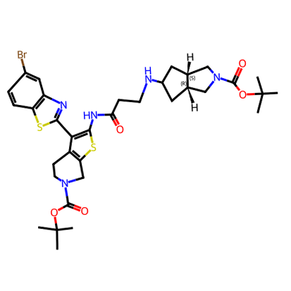 CC(C)(C)OC(=O)N1CCc2c(sc(NC(=O)CCNC3C[C@@H]4CN(C(=O)OC(C)(C)C)C[C@@H]4C3)c2-c2nc3cc(Br)ccc3s2)C1